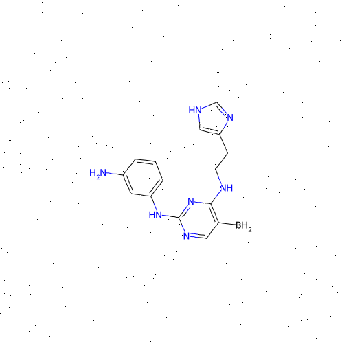 Bc1cnc(Nc2cccc(N)c2)nc1NCCc1c[nH]cn1